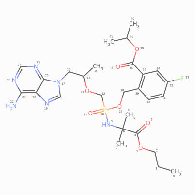 CCCOC(=O)C(C)(C)NP(=O)(COC(C)Cn1cnc2c(N)ncnc21)OCc1ccc(F)cc1C(=O)OC(C)C